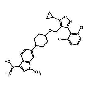 C=C(O)c1cn(C)c2cc(N3CCC(OCc4c(-c5c(Cl)cccc5Cl)noc4C4CC4)CC3)ccc12